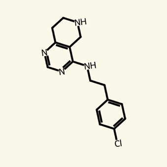 Clc1ccc(CCNc2ncnc3c2CNCC3)cc1